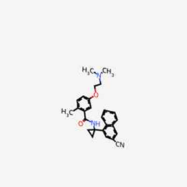 Cc1ccc(OCCN(C)C)cc1C(=O)NC1(c2cc(C#N)cc3ccccc23)CC1